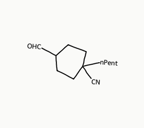 CCCCCC1(C#N)CCC(C=O)CC1